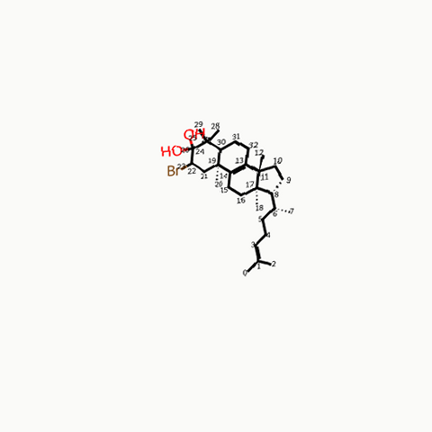 CC(C)=CCC[C@@H](C)[C@H]1CC[C@@]2(C)C3=C(CC[C@]12C)[C@@]1(C)CC(Br)C(O)(O)C(C)(C)C1CC3